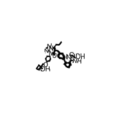 CCCc1c(Cc2ccc(-c3ccccc3C3=NOC(O)N3)cc2)c(=O)n([C@H]2CC[C@H](OCC3(O)CCC3)CC2)c2ncnn12